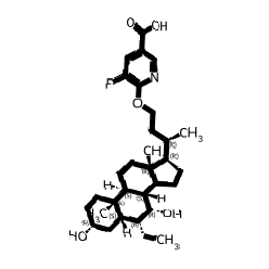 CC[C@H]1[C@@H](O)[C@H]2C3CC[C@H]([C@H](C)CCOc4ncc(C(=O)O)cc4F)[C@@]3(C)CC[C@@H]2[C@@]2(C)CC[C@@H](O)C[C@@H]12